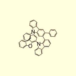 c1ccc(-c2cc3c4ccccc4n(-c4ccccc4)c3cc2-c2cccc3c4ccccc4n(-c4cccc5c4oc4ccccc45)c23)cc1